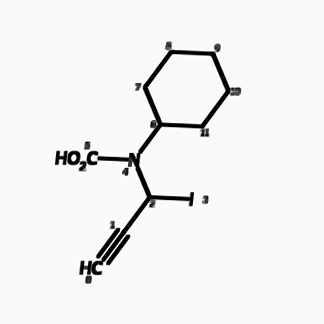 C#CC(I)N(C(=O)O)C1CCCCC1